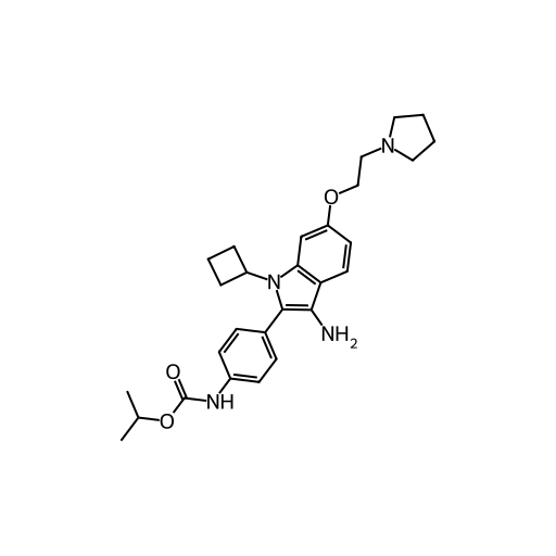 CC(C)OC(=O)Nc1ccc(-c2c(N)c3ccc(OCCN4CCCC4)cc3n2C2CCC2)cc1